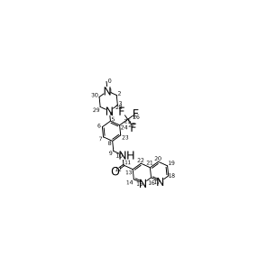 CN1CCN(c2ccc(CNC(=O)c3cnc4ncccc4c3)cc2C(F)(F)F)CC1